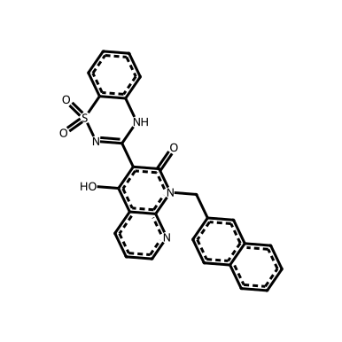 O=c1c(C2=NS(=O)(=O)c3ccccc3N2)c(O)c2cccnc2n1Cc1ccc2ccccc2c1